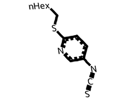 CCCCCCCSc1ccc(N=C=S)cn1